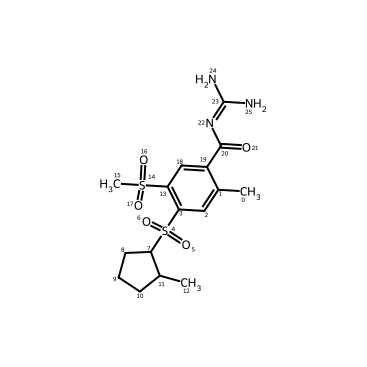 Cc1cc(S(=O)(=O)C2CCCC2C)c(S(C)(=O)=O)cc1C(=O)N=C(N)N